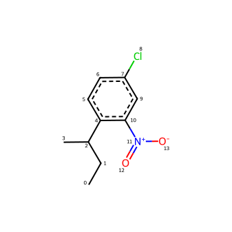 CCC(C)c1ccc(Cl)cc1[N+](=O)[O-]